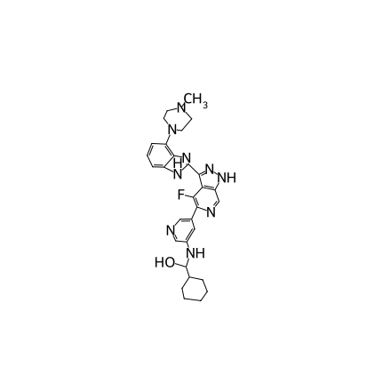 CN1CCN(c2cccc3[nH]c(-c4n[nH]c5cnc(-c6cncc(NC(O)C7CCCCC7)c6)c(F)c45)nc23)CC1